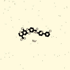 O=C(Nc1ccc(-c2cccc(Cl)c2)nc1)c1ccc(Oc2c(Cl)cc3c(c2Cl)OCCC3C(=O)[O-])cc1.[Na+]